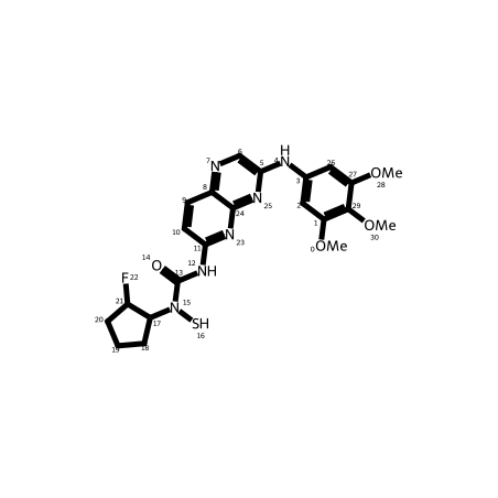 COc1cc(Nc2cnc3ccc(NC(=O)N(S)C4CCCC4F)nc3n2)cc(OC)c1OC